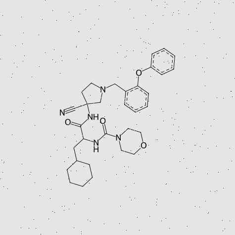 N#CC1(NC(=O)C(CC2CCCCC2)NC(=O)N2CCOCC2)CCN(Cc2ccccc2Oc2ccccc2)C1